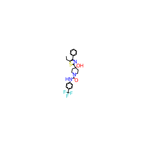 CCc1sc(C2(O)CCN(C(=O)Nc3ccc(C(F)(F)F)cc3)CC2)nc1-c1ccccc1